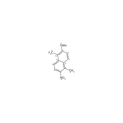 COc1ccc2c(C)c([N+](=O)[O-])ccc2c1C(F)(F)F